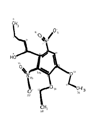 CCCC(O)c1c([N+](=O)[O-])cc(OCC)c(OCC)c1[N+](=O)[O-]